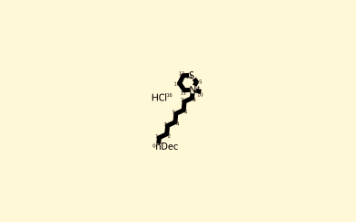 CCCCCCCCCCCCCCCCCC[N+]1(C)CCCSC1.Cl